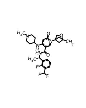 C[C@@H](NC(=O)c1cn(C23COC(C)(C2)C3)c(=O)cc1NC1CCN(C)CC1)c1cccc(C(F)F)c1F